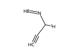 [2H]C(C#C)N=B